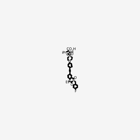 CCn1c(=O)n(Cc2ccc(F)cc2)c(=O)c2cc(C#Cc3ccc(N4CCN(S(=O)(=O)N[C@@H](C(=O)O)C(C)C)CC4)cc3)ccc21